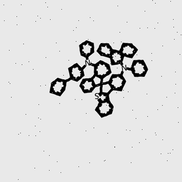 c1ccc(-c2ccc(N(c3ccccc3)c3cccc4c3-c3ccccc3C43c4cc(N(c5ccccc5)c5cc6ccccc6c6ccccc56)ccc4-c4c3sc3ccccc43)cc2)cc1